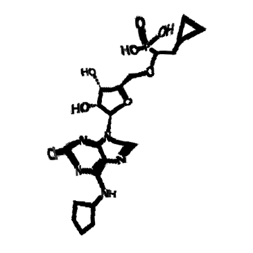 O=P(O)(O)C(CC1CC1)OC[C@H]1O[C@@H](n2cnc3c(NC4CCCC4)nc(Cl)nc32)[C@H](O)[C@@H]1O